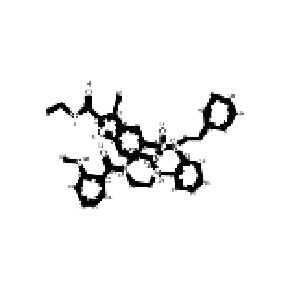 CCOC(=O)c1oc2ccc(S(=O)(=O)N(CCc3ccccc3)c3ccccc3N3CCN(C(=O)c4ccccc4OC)CC3)cc2c1C